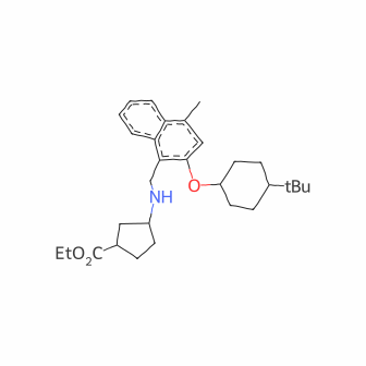 CCOC(=O)C1CCC(NCc2c(OC3CCC(C(C)(C)C)CC3)cc(C)c3ccccc23)C1